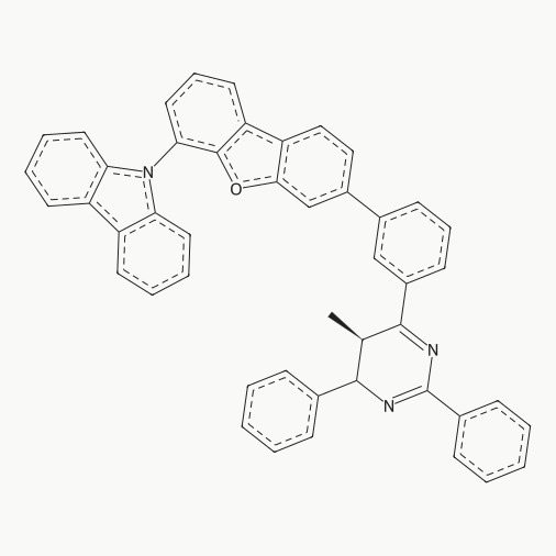 C[C@H]1C(c2cccc(-c3ccc4c(c3)oc3c(-n5c6ccccc6c6ccccc65)cccc34)c2)=NC(c2ccccc2)=NC1c1ccccc1